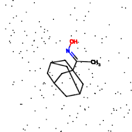 CC(=NO)C12CC3CC(CC(C3)C1)C2